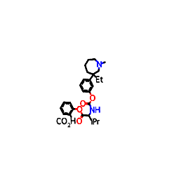 CCC1(c2cccc(OC(=O)NC(C(=O)Oc3ccccc3C(=O)O)C(C)C)c2)CCCCN(C)C1